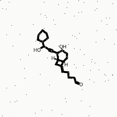 O=CCCC/C=C1/C[C@@H]2C(C#CC(O)C3CCCCC3)[C@H](O)CC[C@H]12